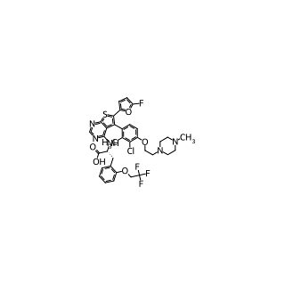 Cc1c(-c2c(-c3ccc(F)o3)sc3ncnc(N[C@H](Cc4ccccc4OCC(F)(F)F)C(=O)O)c23)ccc(OCCN2CCN(C)CC2)c1Cl